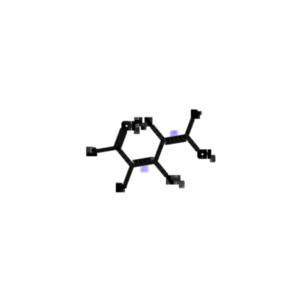 C=C(CC)/C(Br)=C(N)\C(N)=C(/C)Br